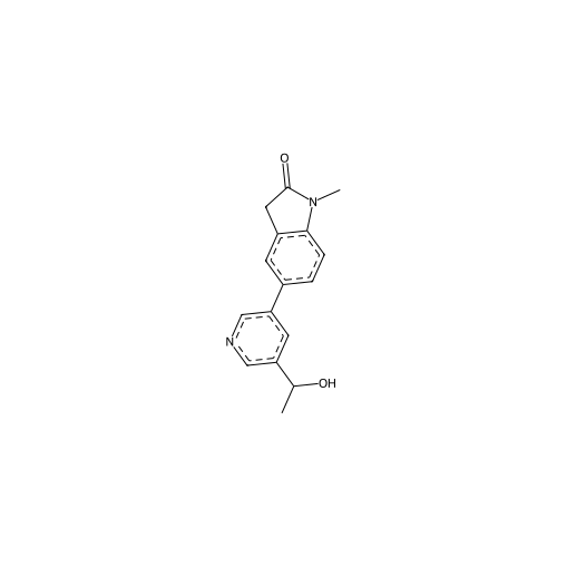 CC(O)c1cncc(-c2ccc3c(c2)CC(=O)N3C)c1